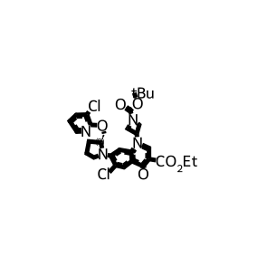 CCOC(=O)c1cn(C2CN(C(=O)OC(C)(C)C)C2)c2cc(N3CCC[C@@H]3COc3ncccc3Cl)c(Cl)cc2c1=O